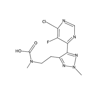 CN(CCc1nn(C)nc1-c1ncnc(Cl)c1F)C(=O)O